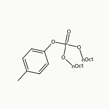 CCCCCCCCOP(=O)(OCCCCCCCC)Oc1ccc(C)cc1